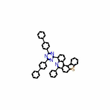 c1ccc(-c2ccc(-c3nc(-c4ccc(-c5ccccc5)cc4)nc(-c4cccc5c4nc(-c4ccccc4)c4ccc6sc7ccccc7c6c45)n3)cc2)cc1